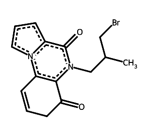 CC(CBr)Cn1c2c(n3cccc3c1=O)C=CCC2=O